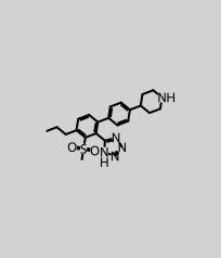 CCCc1ccc(-c2ccc(C3CCNCC3)cc2)c(-c2nnn[nH]2)c1S(C)(=O)=O